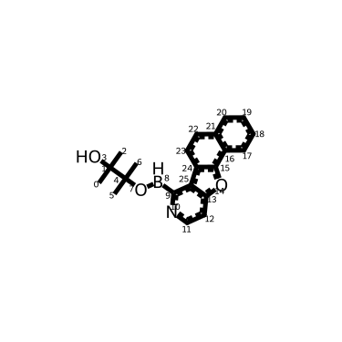 CC(C)(O)C(C)(C)OBc1nccc2oc3c4ccccc4ccc3c12